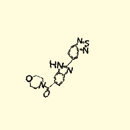 O=C(c1ccc2nc(-c3ccc4nsnc4c3)[nH]c2c1)N1CCOCC1